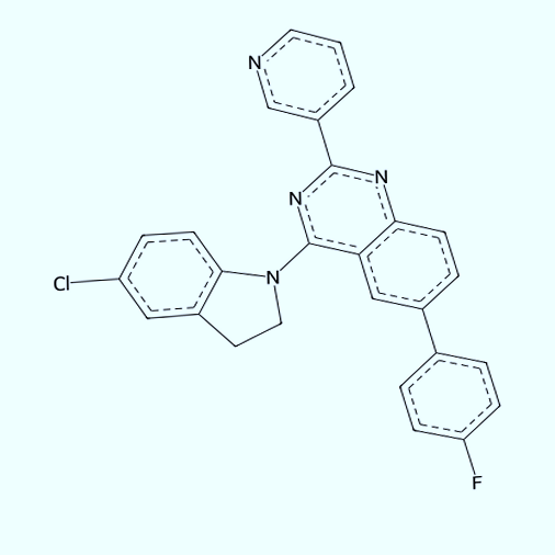 Fc1ccc(-c2ccc3nc(-c4cccnc4)nc(N4CCc5cc(Cl)ccc54)c3c2)cc1